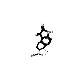 CCCN(CCC)[C@@H]1CCc2c(ccc3c2C(=O)C(=O)N3)[C@@H]1C